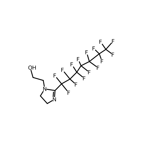 OCCN1CCN=C1C(F)(F)C(F)(F)C(F)(F)C(F)(F)C(F)(F)C(F)(F)C(F)(F)F